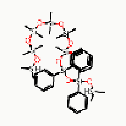 C[SiH](C)O[Si](C)(C)O[Si](C)(C)O[Si](C)(C)O[Si](C)(C)O[Si](C)(C)O[Si](O[Si](O[SiH](C)C)(c1ccccc1)c1ccccc1)(c1ccccc1)c1ccccc1